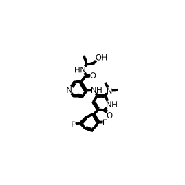 CC(CO)NC(=O)c1cnccc1Nc1cc(-c2cc(F)ccc2F)c(=O)[nH]c1N(C)C